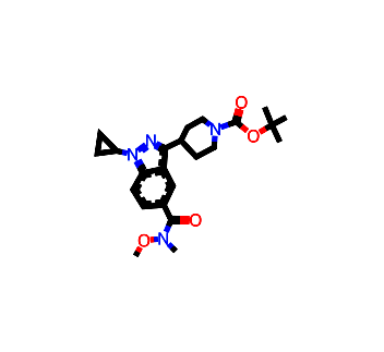 CON(C)C(=O)c1ccc2c(c1)c(C1CCN(C(=O)OC(C)(C)C)CC1)nn2C1CC1